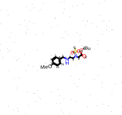 COc1ccc(CNCCN(CC(=O)OC(C)(C)C)S(C)(=O)=O)cc1